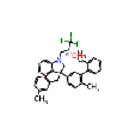 Cc1cccc(CC2(c3ccc(C)c(-c4ccccc4C)c3)CN(C[C@@H](O)C(F)(F)F)c3ccccc32)c1